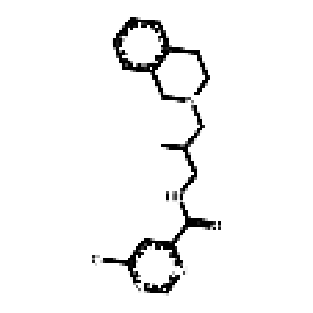 O=C(NCC(F)CN1CCc2ccccc2C1)c1cc(Cl)ncn1